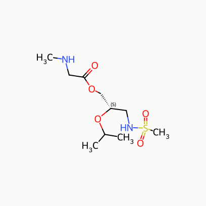 CNCC(=O)OC[C@H](CNS(C)(=O)=O)OC(C)C